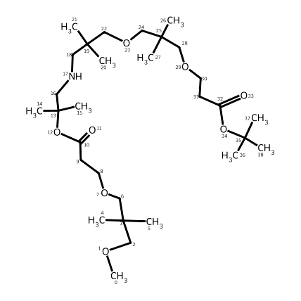 COCC(C)(C)COCCC(=O)OC(C)(C)CNCC(C)(C)COCC(C)(C)COCCC(=O)OC(C)(C)C